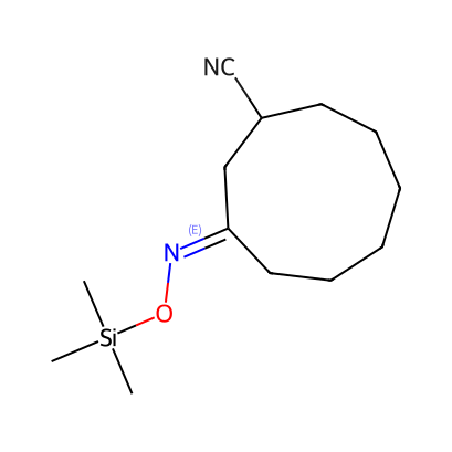 C[Si](C)(C)O/N=C1\CCCCCCC(C#N)C1